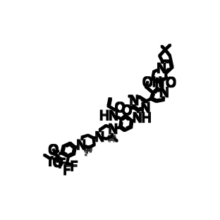 C=CC(=O)Nc1cc(Nc2nc(-c3ccnc(N4CCn5c(cc6c5CC(C)(C)C6)C4=O)c3CO)cn(C)c2=O)ccc1N1CCN(C2CCN(c3ccc(S(=O)(=O)C(C)C)c(C(F)(F)F)c3)[C@@H](C)C2)C[C@@H]1C